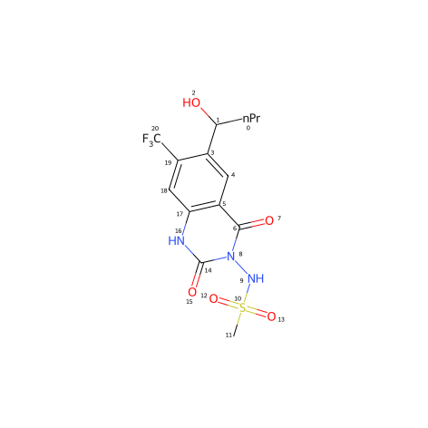 CCCC(O)c1cc2c(=O)n(NS(C)(=O)=O)c(=O)[nH]c2cc1C(F)(F)F